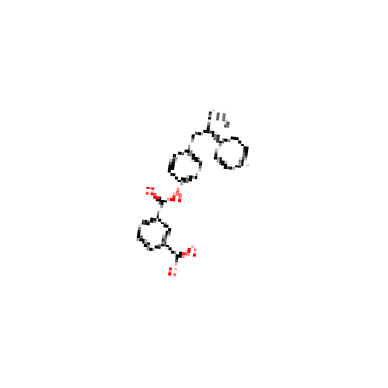 CC(Cc1ccc(OC(=O)c2cccc(C([O])=O)c2)cc1)=C1C=C[C]=CC1